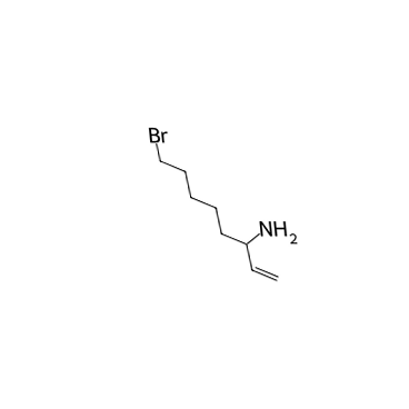 C=CC(N)CCCCCBr